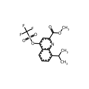 COC(=O)c1cc(OS(=O)(=O)C(F)(F)F)c2cccc(C(C)C)c2n1